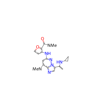 C=C(NC1CC1)c1cnc2c(NC)cc(Nc3ccoc3C(=O)NC)nn12